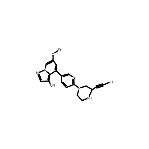 CCOc1cc(-c2ccc(N3CCNC(C#CCl)C3)nc2)c2c(C#N)cnn2c1